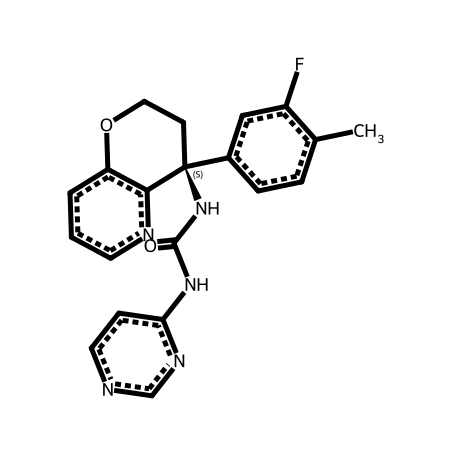 Cc1ccc([C@@]2(NC(=O)Nc3ccncn3)CCOc3cccnc32)cc1F